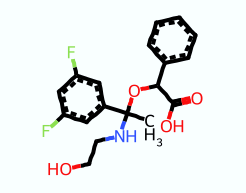 CC(NCCO)(OC(C(=O)O)c1ccccc1)c1cc(F)cc(F)c1